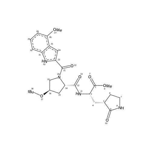 COC(=O)[C@H](C[C@@H]1CCNC1=O)NC(=O)[C@@H]1C[C@@H](OC(C)(C)C)CN1C(=O)c1cc2c(OC)cccc2[nH]1